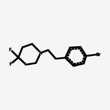 FC1(F)CCN(CCc2ccc(Br)cc2)CC1